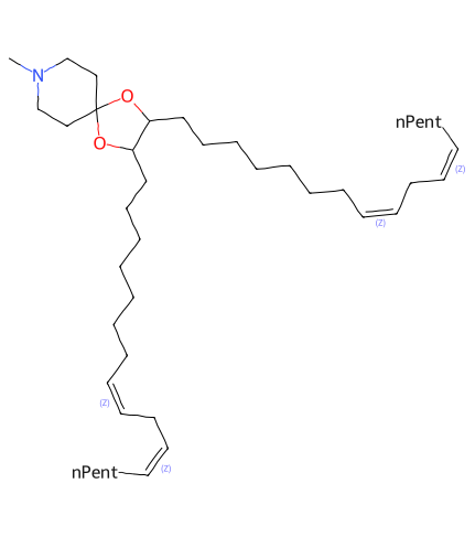 CCCCC/C=C\C/C=C\CCCCCCCC1OC2(CCN(C)CC2)OC1CCCCCCC/C=C\C/C=C\CCCCC